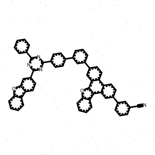 N#Cc1cccc(-c2ccc3c4ccc(-c5cccc(-c6ccc(-c7nc(-c8ccccc8)nc(-c8ccc9c(c8)oc8ccccc89)n7)cc6)c5)cc4c4oc5ccccc5c4c3c2)c1